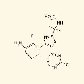 CC(C)(NC(=O)O)c1nc(-c2cccc(N)c2F)c(-c2ccnc(Cl)n2)s1